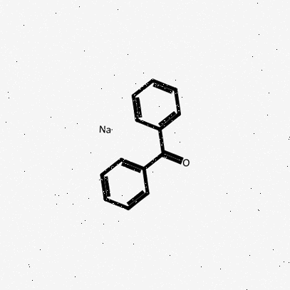 O=C(c1ccccc1)c1ccccc1.[Na]